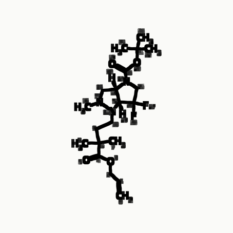 C=CCOC(=O)C(C)(C)CCN1[C@@H]2[C@H](CN1C)N(C(=O)OC(C)(C)C)CC2(F)F